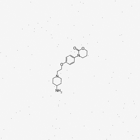 NC1CCN(CCOc2ccc(N3CCCOC3=O)cc2)CC1